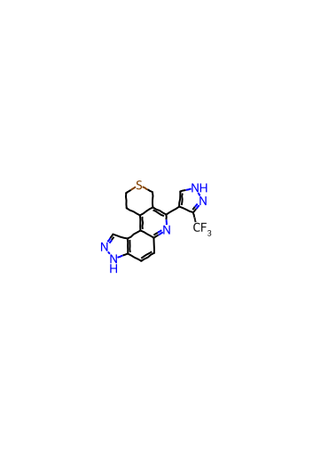 FC(F)(F)c1n[nH]cc1-c1nc2ccc3[nH]ncc3c2c2c1CSCC2